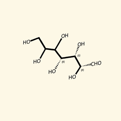 O=C[C@H](O)[C@@H](O)[C@H](O)C(O)C(O)CO